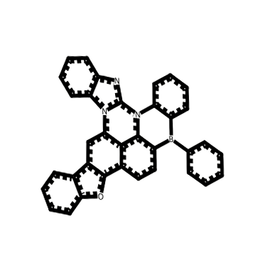 c1ccc(B2c3ccccc3-n3c4c2ccc2c5oc6ccccc6c5cc(c24)n2c4ccccc4nc32)cc1